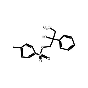 Cc1ccc(S(=O)(=O)OCC(O)(CC(Cl)(Cl)Cl)c2ccccc2)cc1